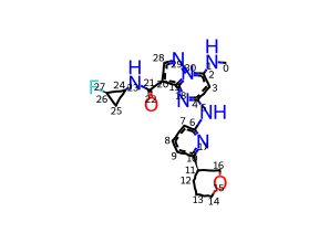 CNc1cc(Nc2cccc([C@@H]3CCCOC3)n2)nc2c(C(=O)N[C@H]3C[C@H]3F)cnn12